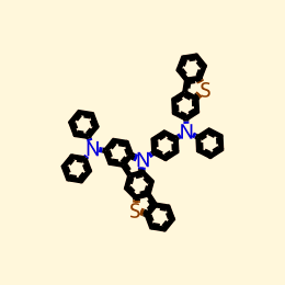 c1ccc(N(c2ccc(-n3c4ccc(N(c5ccccc5)c5ccccc5)cc4c4cc5sc6ccccc6c5cc43)cc2)c2ccc3c(c2)sc2ccccc23)cc1